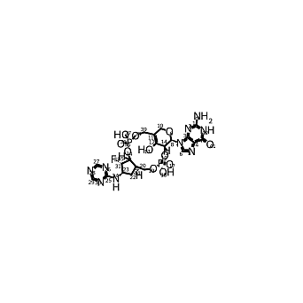 Nc1nc2c(ncn2[C@@H]2OCC3=C(O)[C@H]2OP(=O)(O)OC[C@H]2C[C@@H](Nc4ncncn4)[C@H](F)[C@@H]2OP(=O)(O)OC3)c(=O)[nH]1